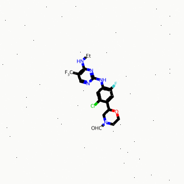 CCNc1nc(Nc2cc(Cl)c(C3CN(C=O)CCO3)cc2F)ncc1C(F)(F)F